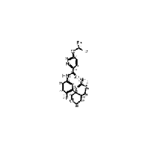 NC1=N[C@@]2(c3cc(NC(=O)c4ccc(OC(F)F)cn4)ccc3F)COCCC2CS1